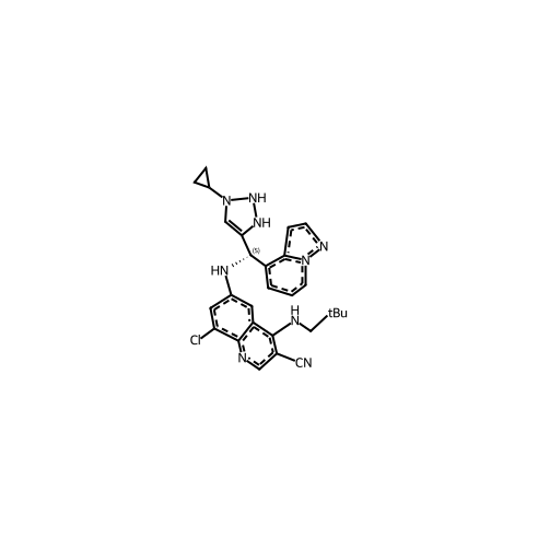 CC(C)(C)CNc1c(C#N)cnc2c(Cl)cc(N[C@H](C3=CN(C4CC4)NN3)c3cccn4nccc34)cc12